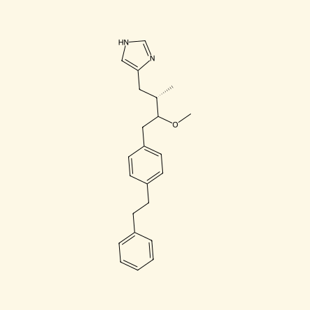 COC(Cc1ccc(CCc2ccccc2)cc1)[C@@H](C)Cc1c[nH]cn1